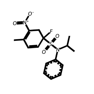 CC1=C([N+](=O)[O-])CC(F)(S(=O)(=O)N(c2ccccc2)C(C)C)C=C1